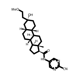 COCC[C@@]1(O)CC[C@H]2[C@H](CC[C@@H]3[C@@H]2CC[C@]2(C)[C@@H](C(=O)Nc4cnc(C#N)nc4)CC[C@@H]32)C1